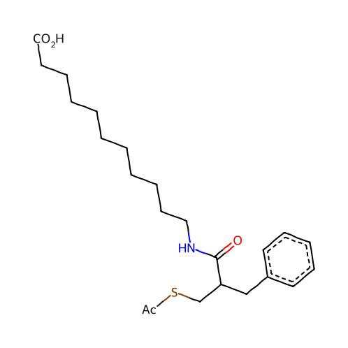 CC(=O)SCC(Cc1ccccc1)C(=O)NCCCCCCCCCCC(=O)O